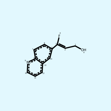 OCC=C(F)c1ccc2ncccc2c1